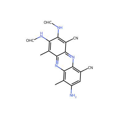 Cc1c(N)cc(C#N)c2nc3c(C#N)c(NC=O)c(NC=O)c(C)c3nc12